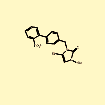 CCc1cn(C(C)(C)C)c(=O)n1Cc1ccc(-c2ccccc2C(=O)O)cc1